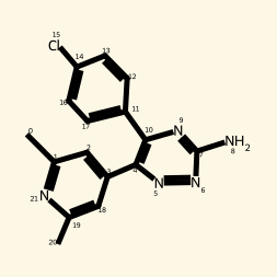 Cc1cc(-c2nnc(N)nc2-c2ccc(Cl)cc2)cc(C)n1